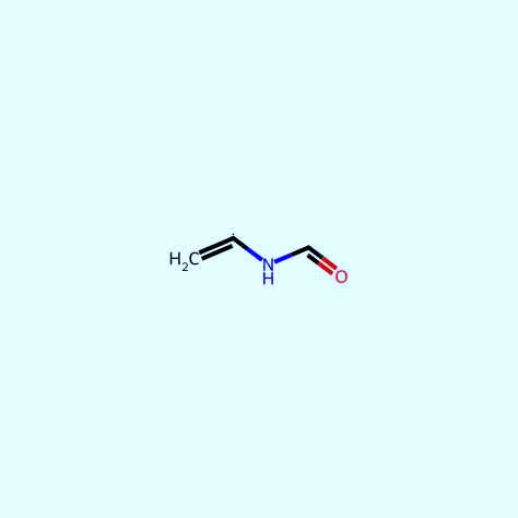 C=[C]NC=O